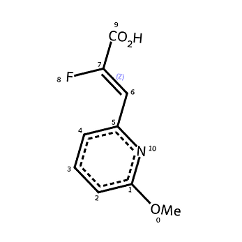 COc1cccc(/C=C(\F)C(=O)O)n1